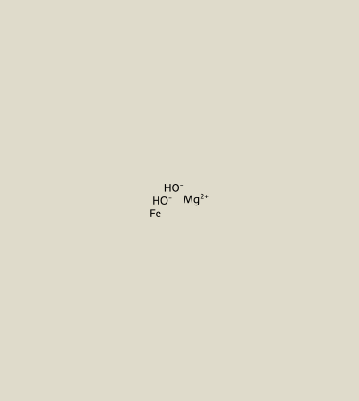 [Fe].[Mg+2].[OH-].[OH-]